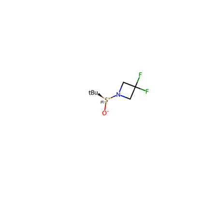 CC(C)(C)[S@+]([O-])N1CC(F)(F)C1